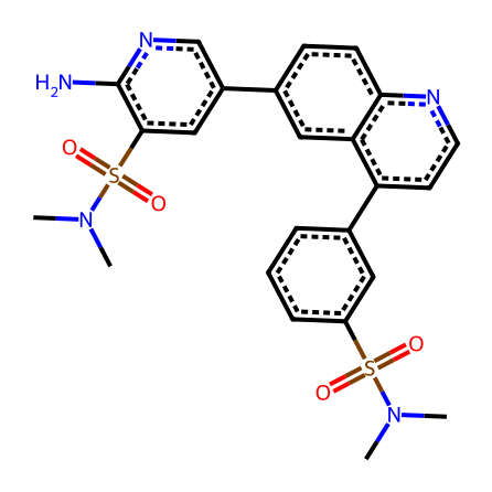 CN(C)S(=O)(=O)c1cccc(-c2ccnc3ccc(-c4cnc(N)c(S(=O)(=O)N(C)C)c4)cc23)c1